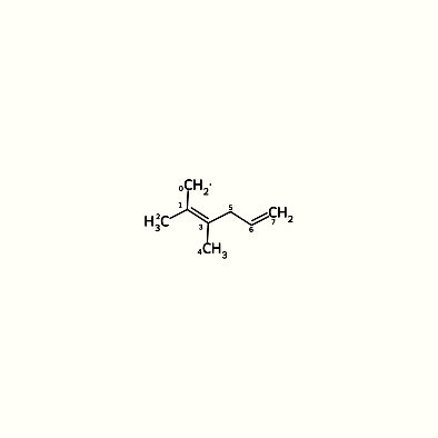 [CH2]C(C)=C(C)CC=C